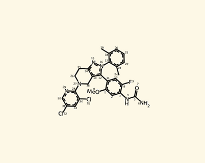 COc1cc(NC(N)=O)c(F)cc1-c1c2c(nn1-c1c(C)cccc1C)CCN(c1ncc(Cl)cc1Cl)C2